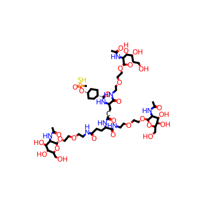 CC(=O)NC1C(OCCOCCNC(=O)CCC(NC(=O)CCC(NC(=O)[C@H]2CC[C@@H](OP(C)(=O)S)CC2)C(=O)NCCOCCOC2OC(CO)C(O)C(O)C2NC(C)=O)C(=O)NCCOCCOC2OC(CO)C(O)C(O)C2NC(C)=O)OC(CO)C(O)C1O